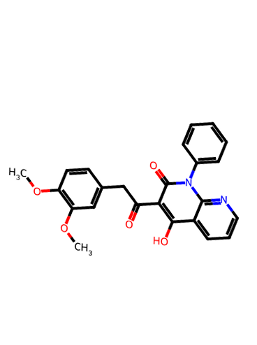 COc1ccc(CC(=O)c2c(O)c3cccnc3n(-c3ccccc3)c2=O)cc1OC